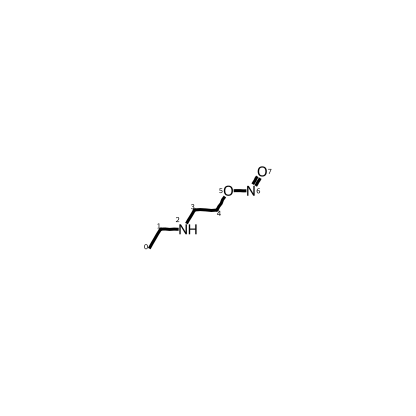 CCNCCON=O